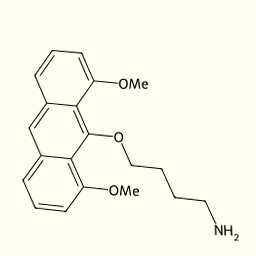 COc1cccc2cc3cccc(OC)c3c(OCCCCN)c12